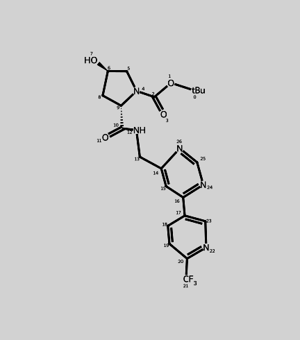 CC(C)(C)OC(=O)N1C[C@H](O)C[C@H]1C(=O)NCc1cc(-c2ccc(C(F)(F)F)nc2)ncn1